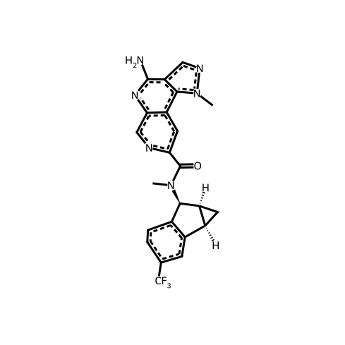 CN(C(=O)c1cc2c(cn1)nc(N)c1cnn(C)c12)[C@@H]1c2ccc(C(F)(F)F)cc2[C@@H]2C[C@H]12